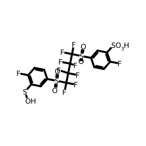 O=S(=O)(O)c1cc(S(=O)(=O)C(F)(F)C(F)(F)C(F)(F)C(F)(F)S(=O)(=O)c2ccc(F)c(SO)c2)ccc1F